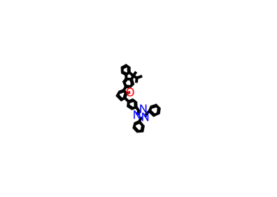 CC(C)C1(C)c2ccccc2-c2cc3c(cc21)oc1c(-c2ccc(-c4nc(-c5ccccc5)nc(-c5ccccc5)n4)cc2)cccc13